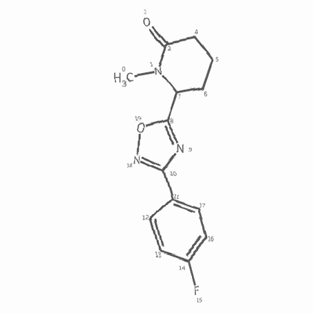 CN1C(=O)CCCC1c1nc(-c2ccc(F)cc2)no1